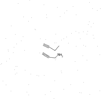 C#CCC.C#CCN